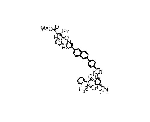 COC(=O)N[C@H](C(=O)N1CCC[C@H]1c1ncc(-c2ccc3cc(-c4ccc(-c5cnc([C@@H]6C[C@@H](C#N)CN6C(=O)[C@@H](c6ccccc6)N(C)C)[nH]5)cc4)ccc3c2)[nH]1)C(C)C